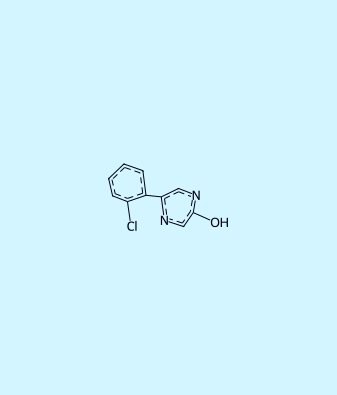 Oc1cnc(-c2ccccc2Cl)cn1